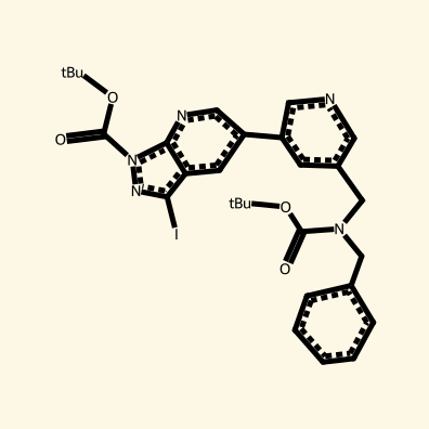 CC(C)(C)OC(=O)N(Cc1ccccc1)Cc1cncc(-c2cnc3c(c2)c(I)nn3C(=O)OC(C)(C)C)c1